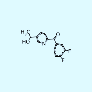 CC(O)c1ccc(C(=O)c2ccc(F)c(F)c2)nc1